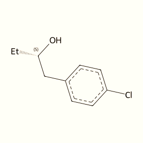 CC[C@H](O)Cc1ccc(Cl)cc1